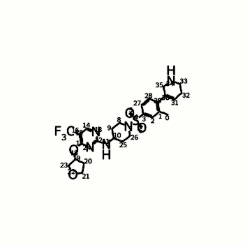 Cc1cc(S(=O)(=O)N2CCC(Nc3ncc(C(F)(F)F)c(O[C@H]4CCOC4)n3)CC2)ccc1C1=CCCNC1